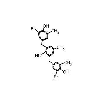 CCc1cc(Cc2cc(C)cc(Cc3cc(C)c(O)c(CC)c3)c2O)cc(C)c1O